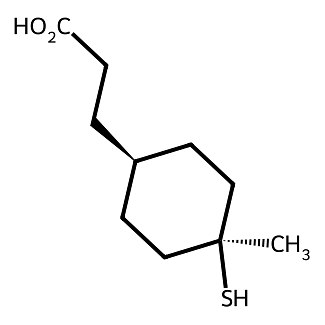 C[C@]1(S)CC[C@@H](CCC(=O)O)CC1